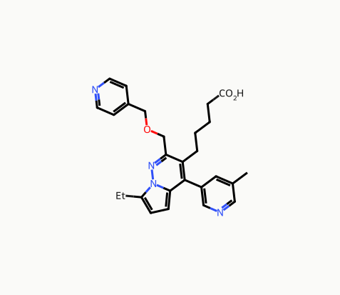 CCc1ccc2c(-c3cncc(C)c3)c(CCCCC(=O)O)c(COCc3ccncc3)nn12